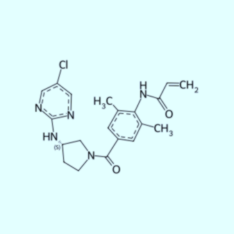 C=CC(=O)Nc1c(C)cc(C(=O)N2CC[C@H](Nc3ncc(Cl)cn3)C2)cc1C